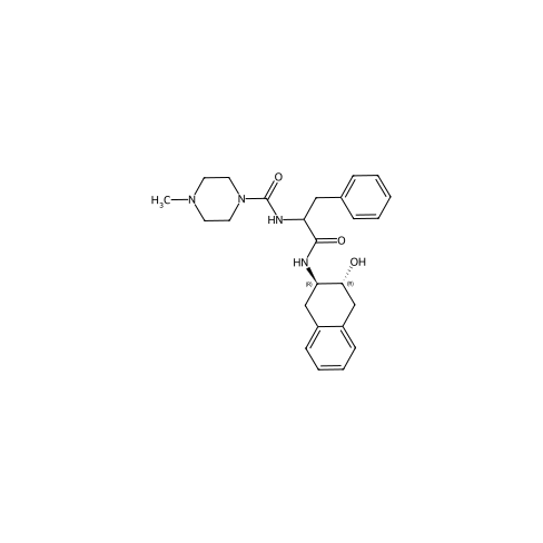 CN1CCN(C(=O)NC(Cc2ccccc2)C(=O)N[C@@H]2Cc3ccccc3C[C@H]2O)CC1